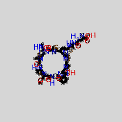 CNC(=O)C[C@@H]1NC(=O)c2csc(n2)-c2ccc(-c3nc(NC(=O)CC[C@H](N)C(=O)O)cs3)nc2-c2csc(n2)-c2csc(n2)[C@H]([C@@H](O)c2ccccc2)NC(=O)CNC(=O)c2nc(sc2COC)C(C(C)C)NC(=O)c2nc1sc2C